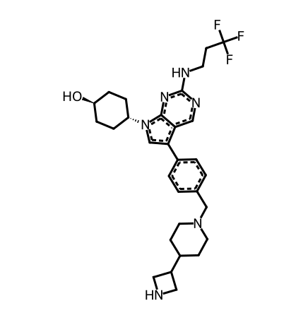 O[C@H]1CC[C@H](n2cc(-c3ccc(CN4CCC(C5CNC5)CC4)cc3)c3cnc(NCCC(F)(F)F)nc32)CC1